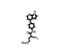 COCCC(N)C(=O)Nc1ccc(-c2ccnc3[nH]ccc23)cc1